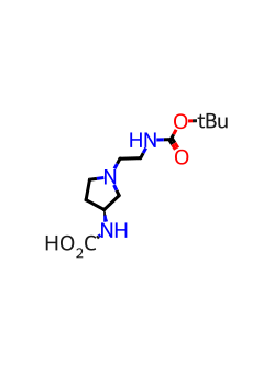 CC(C)(C)OC(=O)NCCN1CC[C@H](NC(=O)O)C1